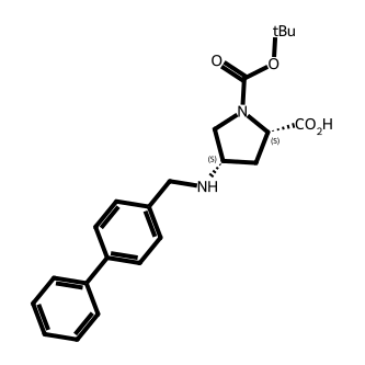 CC(C)(C)OC(=O)N1C[C@@H](NCc2ccc(-c3ccccc3)cc2)C[C@H]1C(=O)O